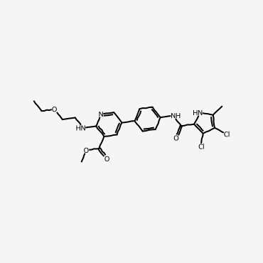 CCOCCNc1ncc(-c2ccc(NC(=O)c3[nH]c(C)c(Cl)c3Cl)cc2)cc1C(=O)OC